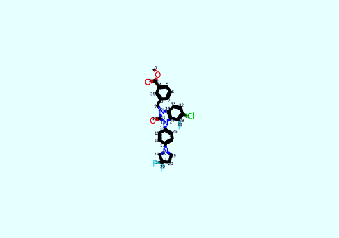 COC(=O)c1cccc(Cn2c(=O)n(-c3ccc(N4CCC(F)(F)C4)cc3)c3c(F)c(Cl)ccc32)c1